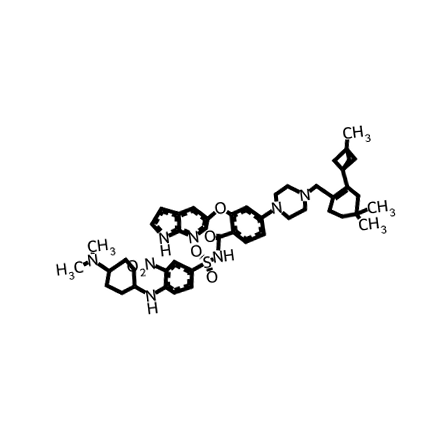 CN(C)C1CCC(Nc2ccc(S(=O)(=O)NC(=O)c3ccc(N4CCN(CC5=C(C67CC(C)(C6)C7)CC(C)(C)CC5)CC4)cc3Oc3cnc4[nH]ccc4c3)cc2[N+](=O)[O-])CC1